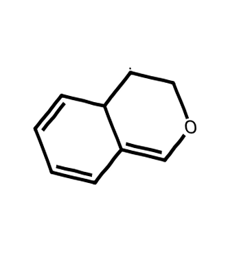 [CH]1COC=C2C=CC=CC12